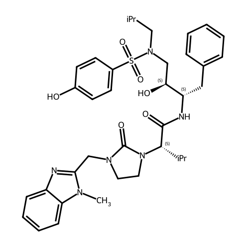 CC(C)CN(C[C@H](O)[C@H](Cc1ccccc1)NC(=O)[C@H](C(C)C)N1CCN(Cc2nc3ccccc3n2C)C1=O)S(=O)(=O)c1ccc(O)cc1